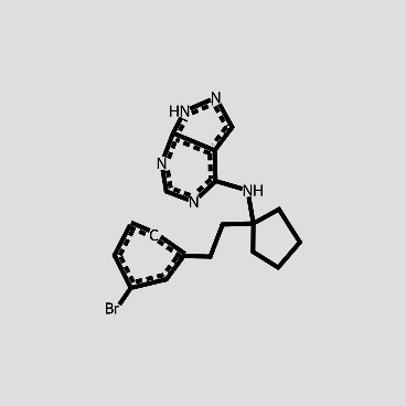 Brc1cccc(CCC2(Nc3ncnc4[nH]ncc34)CCCC2)c1